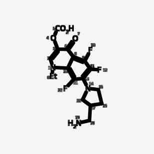 CCn1cc(OC(=O)O)c(=O)c2c(F)c(F)c(N3CCC(CN)C3)c(F)c21